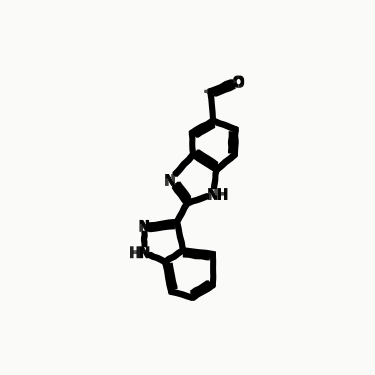 O=[C]c1ccc2[nH]c(-c3n[nH]c4ccccc34)nc2c1